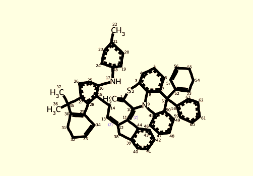 C=C1Sc2cccc3c2N(/C1=C1/C(=C\Cc2c(Nc4ccc(C)cc4)ccc4c2C2=C(CCC=C2)C4(C)C)Cc2ccccc21)c1ccccc1C3(C1=CCCC=C1)c1ccccc1